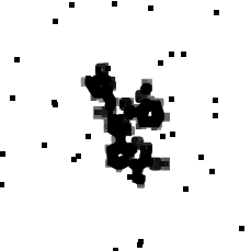 CCC(C(=O)O)n1cccc(-c2cc(NCc3ccc(Cl)s3)n(C(=O)c3ccccc3OC)n2)c1=O